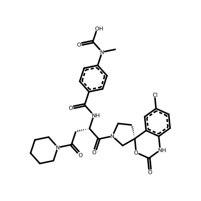 CN(C(=O)O)c1ccc(C(=O)N[C@@H](CC(=O)N2CCCCC2)C(=O)N2CC[C@@]3(C2)OC(=O)Nc2ccc(Cl)cc23)cc1